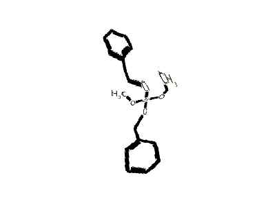 C[O][Zr]([O]C)([O]Cc1ccccc1)[O]Cc1ccccc1